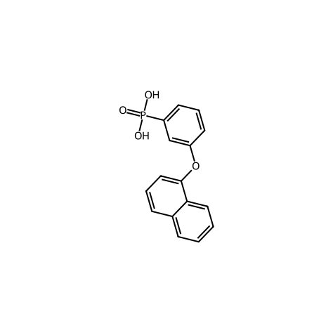 O=P(O)(O)c1cccc(Oc2cccc3ccccc23)c1